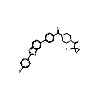 O=C(c1ccc(-c2ccc3nc(-c4ccc(F)cc4)sc3c2)cc1)N1CCN(C(=O)C2(O)CC2)CC1